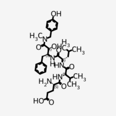 CC(C)C[C@H](NC(=O)[C@@H](NC(=O)[C@@H](N)CCC(=O)O)C(C)C)C(=O)N[C@@H](Cc1ccccc1)[C@@H](O)C(=O)N(C)Cc1ccc(O)cc1